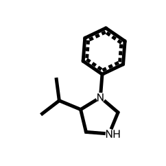 CC(C)C1CNCN1c1ccccc1